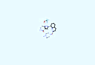 CN1CCN(C(=O)c2ccc3cccc(-c4cc5c([nH]4)CCNC5=O)c3n2)CC1.O=C(O)C(F)(F)F